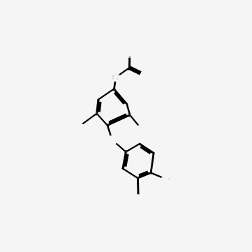 CC(C)c1cc(Oc2c(F)cc(NC(=O)C(=O)O)cc2F)ccc1O